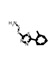 Cc1ccccc1-c1nnc(SSN)s1